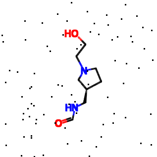 O=CNC[C@@H]1CCN(CCO)C1